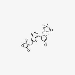 Cc1cc(Cl)cc(-c2ccnc3cc(CN4C(=O)C5CC5C4=O)sc23)c1CC1CNCC(C)(C)O1